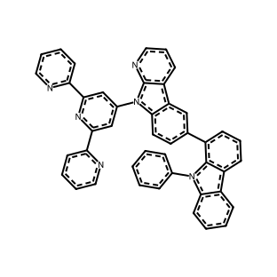 c1ccc(-n2c3ccccc3c3cccc(-c4ccc5c(c4)c4cccnc4n5-c4cc(-c5ccccn5)nc(-c5ccccn5)c4)c32)cc1